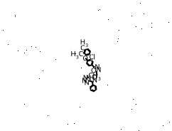 Cc1cccc(Oc2ccc(-c3nnc(CO/N=C(/c4ccccc4)c4nnnn4C)o3)cc2Cl)c1C